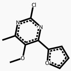 COc1c(C)nc(Cl)nc1-c1ccco1